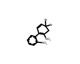 O=[N+]([O-])C1=C(c2ccccc2[N+](=O)[O-])C=CC(Br)(Br)C1